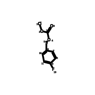 O=C(OCl)OSc1ccc(F)cc1